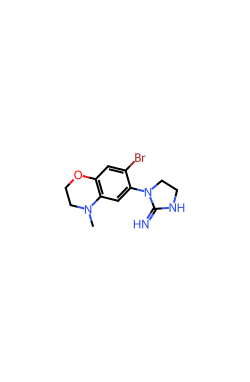 CN1CCOc2cc(Br)c(N3CCNC3=N)cc21